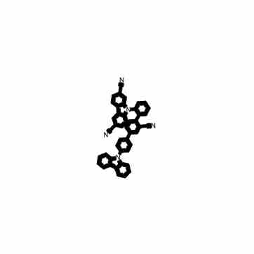 N#Cc1ccc2c(c1)c1ccc(C#N)cc1n2-c1ccccc1-c1ccc(-c2ccc(-n3c4ccccc4c4ccccc43)cc2)cc1C#N